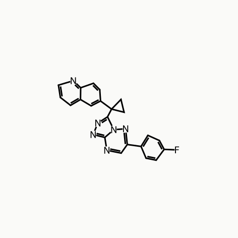 Fc1ccc(-c2cnc3nnc(C4(c5ccc6ncccc6c5)CC4)n3n2)cc1